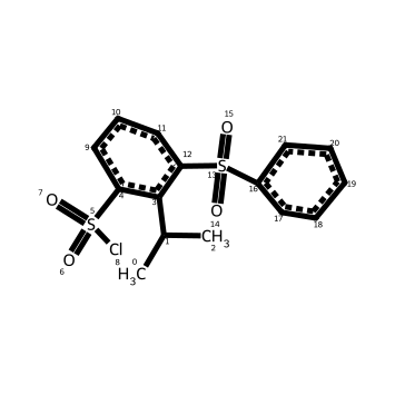 CC(C)c1c(S(=O)(=O)Cl)cccc1S(=O)(=O)c1ccccc1